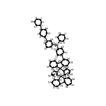 c1ccc(-c2ccc(-c3cccc(N(c4ccccc4)c4ccc(-c5cccc6c5-c5ccccc5C65c6ccccc6C6(c7ccccc7-c7ccccc76)c6ccccc65)cc4)c3)cc2)cc1